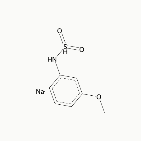 COc1cccc(N[SH](=O)=O)c1.[Na]